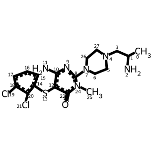 CC(N)CN1CCN(c2nc(N)c(Sc3cccc(Cl)c3Cl)c(=O)n2C)CC1